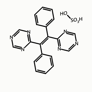 O=S(=O)(O)O.c1ccc(C(=C(c2ccccc2)c2ncncn2)c2ncncn2)cc1